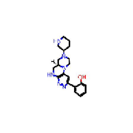 Oc1ccccc1-c1cc2c(nn1)NC[C@H]1CN(C3CCCNC3)CCN21